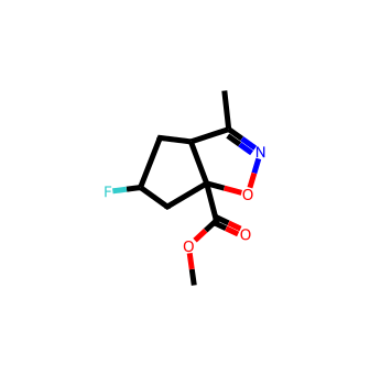 COC(=O)C12CC(F)CC1C(C)=NO2